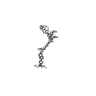 Cc1ncsc1-c1ccc(CNC(=O)[C@@H]2C[C@@H](O)CN2C(=O)[C@@H](NC(=O)COCCOCCOCC(O)COc2ccc3nc(-c4ccc(N(C)C)cc4)ccc3c2)C(C)(C)C)cc1